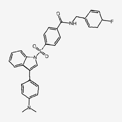 CN(C)c1ccc(-c2cn(S(=O)(=O)c3ccc(C(=O)NCC4=CCC(F)C=C4)cc3)c3ccccc23)cc1